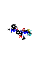 CC1(C(=O)Nc2ccc3c(C(=O)NC4CC4)c(NC(=O)c4csc(C(F)(F)F)n4)[nH]c3c2)CCCCC1